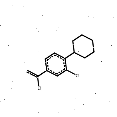 C=C(Cl)c1ccc(C2CCCCC2)c(Cl)c1